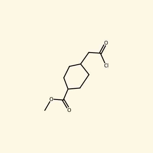 COC(=O)C1CCC(CC(=O)Cl)CC1